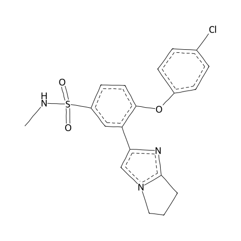 CNS(=O)(=O)c1ccc(Oc2ccc(Cl)cc2)c(-c2cn3c(n2)CCC3)c1